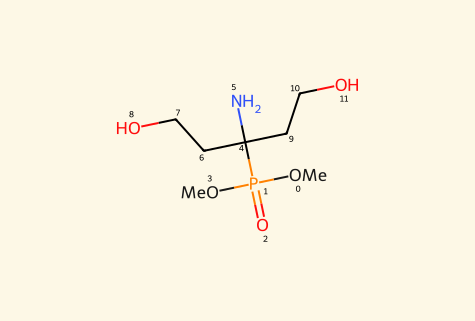 COP(=O)(OC)C(N)(CCO)CCO